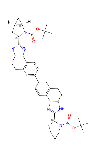 CC(C)(C)OC(=O)N1C2CC2C[C@H]1c1nc2c([nH]1)CCc1cc(-c3ccc4c(c3)CCc3[nH]c([C@@H]5C[C@H]6C[C@H]6N5C(=O)OC(C)(C)C)nc3-4)ccc1-2